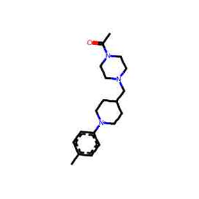 CC(=O)N1CCN(CC2CCN(c3ccc(C)cc3)CC2)CC1